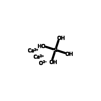 O[Si](O)(O)O.[Ca+2].[Ca+2].[O-2]